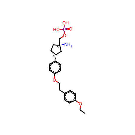 CCOc1ccc(CCOc2ccc([C@@H]3CC[C@](N)(COP(=O)(O)O)C3)cc2)cc1